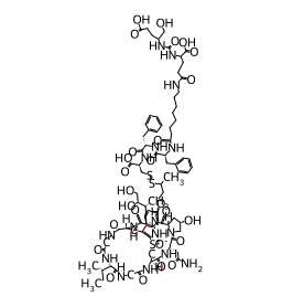 CC[C@H](C)[C@@H]1NC(=O)CNC(=O)[C@H]2Cc3c([nH]c4cc(OCCC(C)SSC[C@H](NC(=O)[C@H](Cc5ccccc5)NC(=O)[C@H](Cc5ccccc5)NC(=O)CCCCCCCNC(=O)CCC(NC(=O)NC(CO)CCC(=O)O)C(=O)O)C(=O)O)ccc34)[S+]([O-])C[C@H](NC(=O)CNC1=O)C(=O)N[C@@H](CC(N)=O)C(=O)N1C[C@H](O)C[C@H]1C(=O)N[C@@H]([C@@H](C)[C@@H](O)CO)C(=O)N2